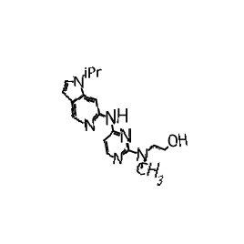 CC(C)n1ccc2cnc(Nc3ccnc(N(C)CCO)n3)cc21